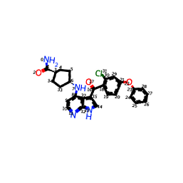 NC(=O)[C@H]1CC[C@H](Nc2ccnc3[nH]cc(C(=O)c4ccc(Oc5ccccc5)cc4Cl)c23)CC1